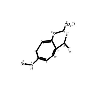 CCOC(=O)CSC1=CCC(NBr)=CC=C1C(F)F